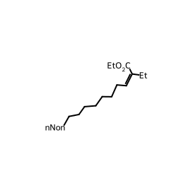 CCCCCCCCCCCCCCCCC=C(CC)C(=O)OCC